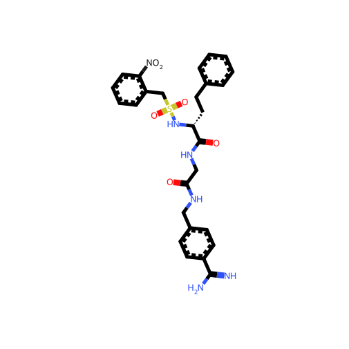 N=C(N)c1ccc(CNC(=O)CNC(=O)[C@@H](CCc2ccccc2)NS(=O)(=O)Cc2ccccc2[N+](=O)[O-])cc1